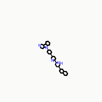 C1=CC(c2ccc(-c3ccc(-n4c5ccccc5c5cnccc54)cc3)cn2)NC=C1c1ccc2ccccc2c1